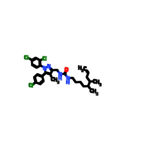 C=CCC(C)C(C)CCCCNC(=O)NCc1nn(-c2ccc(Cl)cc2Cl)c(-c2ccc(Cl)cc2)c1C